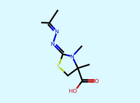 CC(C)=NN=C1SCC(C)(C(=O)O)N1C